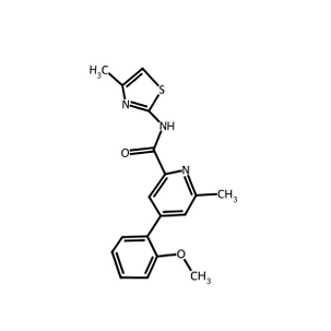 COc1ccccc1-c1cc(C)nc(C(=O)Nc2nc(C)cs2)c1